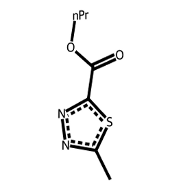 CCCOC(=O)c1nnc(C)s1